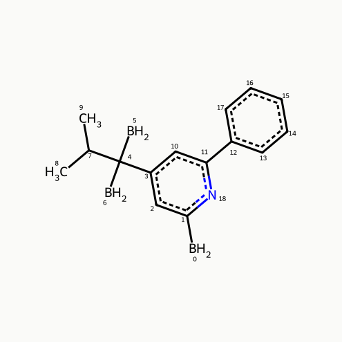 Bc1cc(C(B)(B)C(C)C)cc(-c2ccccc2)n1